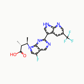 C[C@H]([C@@H](C)C(=O)O)n1cc(F)c2cnc(-c3c[nH]c4ncc(C(F)(F)F)cc34)nc21